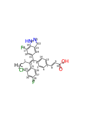 CC/C(=C(/c1ccc(/C=C/C(=O)O)cc1)c1cc(F)c2[nH]ncc2c1)c1ccc(F)cc1Cl